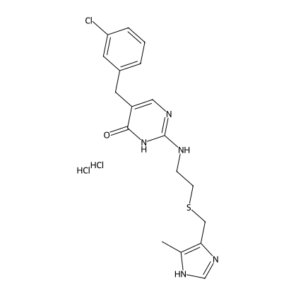 Cc1[nH]cnc1CSCCNc1ncc(Cc2cccc(Cl)c2)c(=O)[nH]1.Cl.Cl